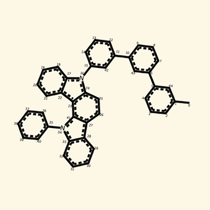 Cc1cccc(-c2cccc(-c3cccc(-n4c5ccccc5c5c4ccc4c6ccccc6n(-c6ccccc6)c45)c3)c2)c1